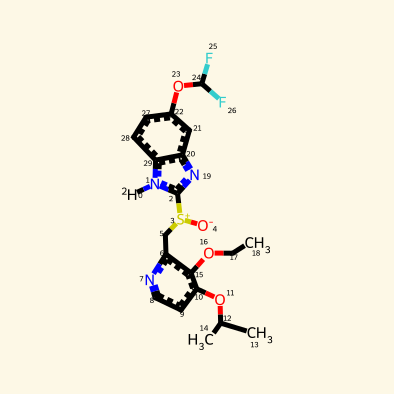 [2H]n1c([S+]([O-])Cc2nccc(OC(C)C)c2OCC)nc2cc(OC(F)F)ccc21